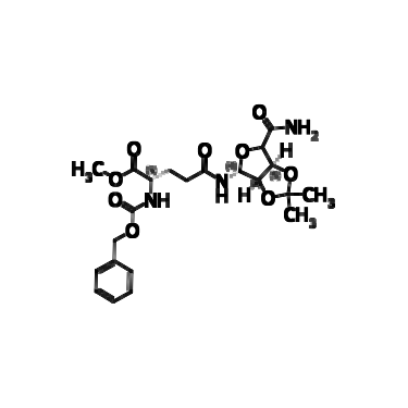 COC(=O)[C@H](CCC(=O)N[C@@H]1OC(C(N)=O)[C@H]2OC(C)(C)O[C@@H]12)NC(=O)OCc1ccccc1